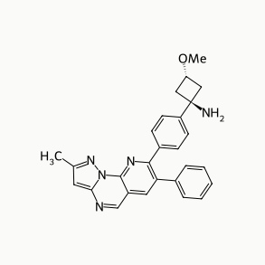 CO[C@H]1C[C@@](N)(c2ccc(-c3nc4c(cnc5cc(C)nn54)cc3-c3ccccc3)cc2)C1